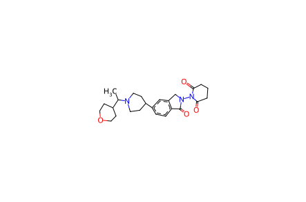 CC(C1CCOCC1)N1CCC(c2ccc3c(c2)CN(N2C(=O)CCCC2=O)C3=O)CC1